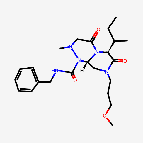 CCC(C)[C@H]1C(=O)N(CCCOC)C[C@H]2N1C(=O)CN(C)N2C(=O)NCc1ccccc1